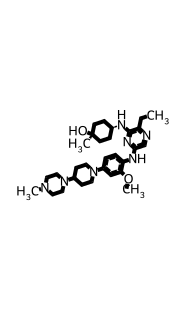 CCc1ncc(Nc2ccc(N3CCC(N4CCN(C)CC4)CC3)cc2OC)nc1N[C@H]1CC[C@@](C)(O)CC1